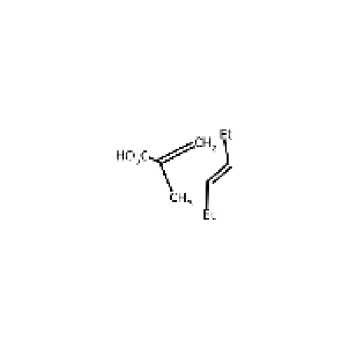 C=C(C)C(=O)O.CC/C=C/CC